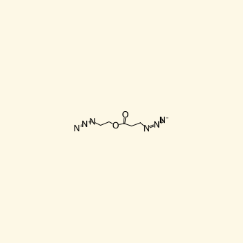 [N-]=[N+]=NCCOC(=O)CCN=[N+]=[N-]